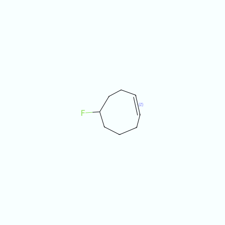 FC1CC/C=C\CCC1